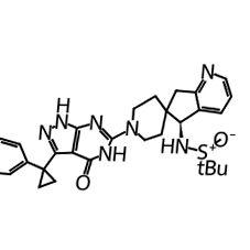 CC(C)(C)[S+]([O-])N[C@@H]1c2cccnc2CC12CCN(c1nc3[nH]nc(C4(c5ccccc5)CC4)c3c(=O)[nH]1)CC2